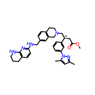 COC(=O)C[C@H](CN1CCc2ccc(CNc3ccc4c(n3)NCCC4)cc2C1)c1cccc(-n2nc(C)cc2C)c1